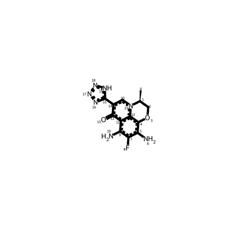 C[C@H]1COc2c(N)c(F)c(N)c3c(=O)c(-c4nnn[nH]4)cn1c23